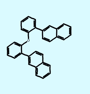 c1ccc(-c2ccc3ccccc3c2)c(Oc2ccccc2-c2ccc3ccccc3c2)c1